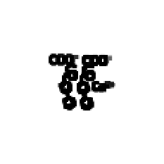 CC(CC(=O)Cc1ccc(-c2ccccc2)cc1)C(=O)[O-].CC(CC(=O)Cc1ccc(-c2ccccc2)cc1)C(=O)[O-].[Ca+2]